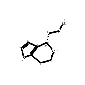 CCNC[C@@H]1OCCc2sccc21